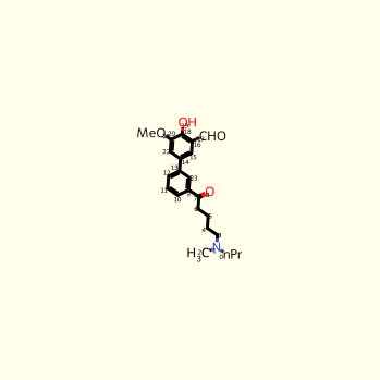 CCCN(C)CCCCC(=O)c1cccc(-c2cc(C=O)c(O)c(OC)c2)c1